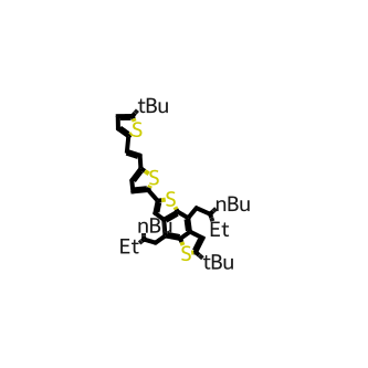 CCCCC(CC)Cc1c2cc(C(C)(C)C)sc2c(CC(CC)CCCC)c2cc(-c3ccc(/C=C/c4ccc(C(C)(C)C)s4)s3)sc12